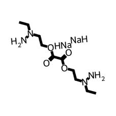 CCN(N)CCOC(=O)C(=O)OCCN(N)CC.[NaH].[NaH]